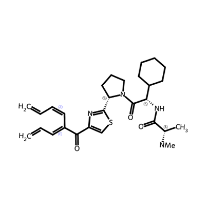 C=C/C=C\C(=C/C=C)C(=O)c1csc([C@@H]2CCCN2C(=O)[C@@H](NC(=O)[C@H](C)NC)C2CCCCC2)n1